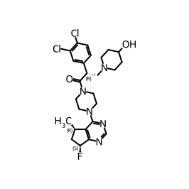 C[C@@H]1C[C@H](F)c2ncnc(N3CCN(C(=O)[C@@H](CN4CCC(O)CC4)c4ccc(Cl)c(Cl)c4)CC3)c21